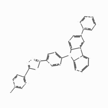 Cc1ccc(-c2nnc(-c3ccc(-n4c5ccccc5c5cc(-c6ccccc6)ccc54)cc3)o2)cc1